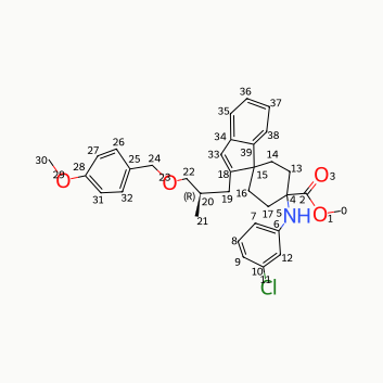 COC(=O)C1(Nc2cccc(Cl)c2)CCC2(CC1)C(C[C@@H](C)COCc1ccc(OC)cc1)=Cc1ccccc12